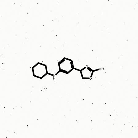 NC1=NC(c2cccc(NC3CCCCC3)c2)CO1